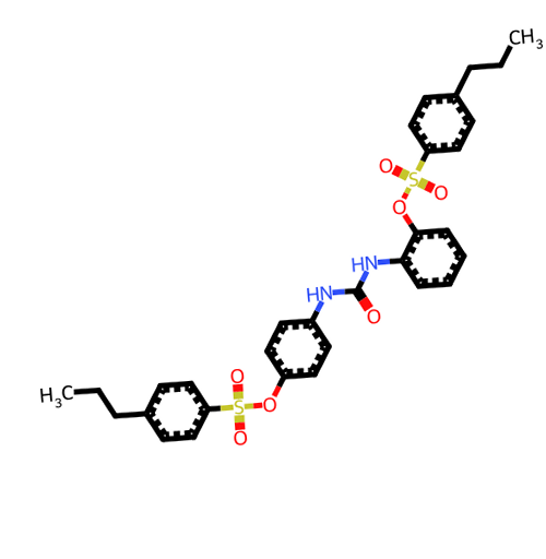 CCCc1ccc(S(=O)(=O)Oc2ccc(NC(=O)Nc3ccccc3OS(=O)(=O)c3ccc(CCC)cc3)cc2)cc1